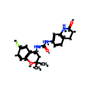 CC1(C)C[C@@H](NC(=O)Nc2ccc3c(c2)NC(=O)CC3)c2cc(F)ccc2O1